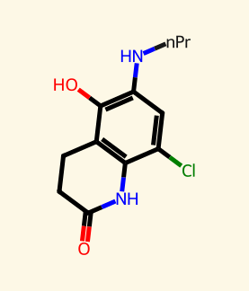 CCCNc1cc(Cl)c2c(c1O)CCC(=O)N2